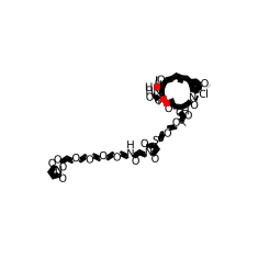 COc1cc2cc(c1Cl)N(C)C(=O)C[C@H](OC(=O)[C@H](C)OCCOCCSC1CC(=O)N(CCC(=O)NCCOCCOCCOCCOCCC(=O)ON3C(=O)CCC3=O)C1=O)[C@@]1(C)CC(C)(O1)[C@@H]1C[C@@](O)(NC(=O)O1)[C@H](OC)/C=C/C=C(\C)C2